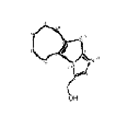 OCc1cnc2sc3c(n12)CCCCC3